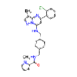 Bc1cnn2c(NCc3ccc(CNC(=O)c4cccn4C)cc3)cc(-c3ccccc3Cl)nc12